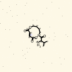 CC(C)C(N)C(=O)N1CCCCOC(=O)/C=C/C(=O)O1